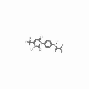 Cn1c(C(F)(F)F)cc(=O)n(-c2ccc(N(F)C(=O)C(F)F)cc2)c1=O